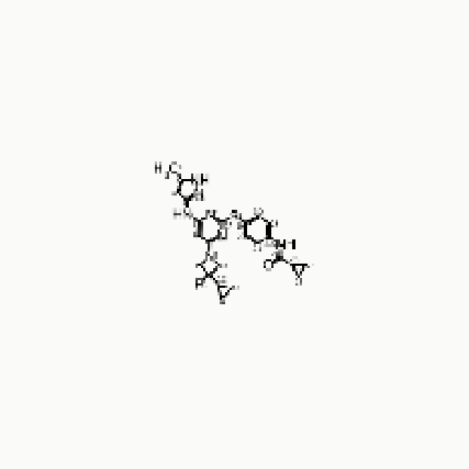 Cc1cc(Nc2cc(N3CC(F)(C4CC4)C3)nc(Sc3ccc(NC(=O)C4CC4)cc3)n2)n[nH]1